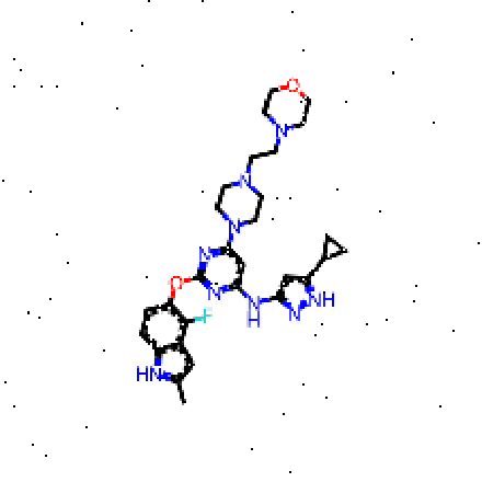 Cc1cc2c(F)c(Oc3nc(Nc4cc(C5CC5)[nH]n4)cc(N4CCN(CCN5CCOCC5)CC4)n3)ccc2[nH]1